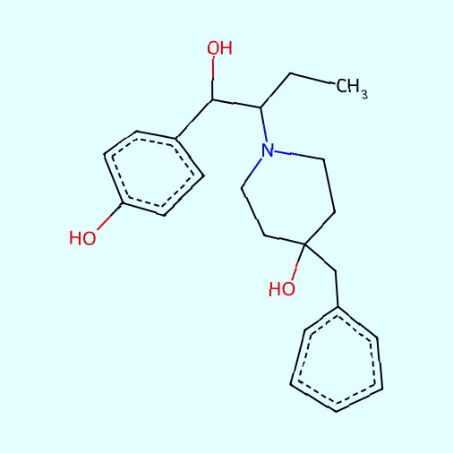 CCC(C(O)c1ccc(O)cc1)N1CCC(O)(Cc2ccccc2)CC1